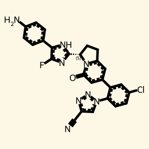 N#Cc1cn(-c2ccc(Cl)cc2-c2cc3n(c(=O)c2)[C@H](c2nc(F)c(-c4ccc(N)cc4)[nH]2)CC3)nn1